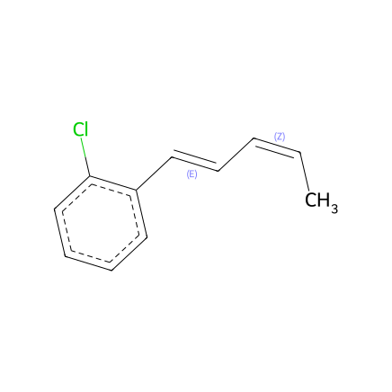 C/C=C\C=C\c1ccccc1Cl